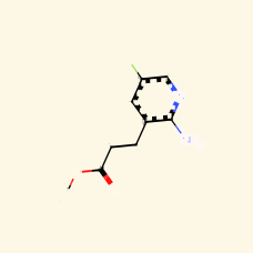 COC(=O)CCc1cc(F)cnc1N